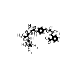 CC(C)[C@H](NC(=O)OC(C)(C)C)C(=O)N[C@@H](C)C(=O)Nc1ccc(COC(=O)N(C)Cc2ccccc2C(=O)Cl)cc1